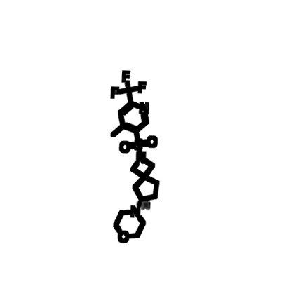 Cc1cc(C(F)(F)F)ncc1S(=O)(=O)N1CC2(CC[C@H](N3CCOCC3)C2)C1